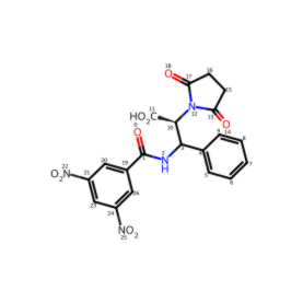 O=C(NC(c1ccccc1)[C@@H](C(=O)O)N1C(=O)CCC1=O)c1cc([N+](=O)[O-])cc([N+](=O)[O-])c1